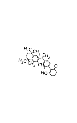 C=C(c1ccc(C2=C(O)CCCC2=O)cc1)c1cc2c(cc1C)C(C)(C)CCC2(C)C